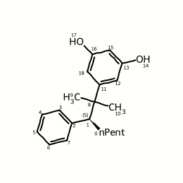 CCCCC[C@@H](c1ccccc1)C(C)(C)c1cc(O)cc(O)c1